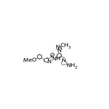 COc1cccc(-c2ccnc(C(=O)Nc3cc(CN4CCC[C@H](N)C4)cc(-n4cnc(C)c4)c3)c2)c1